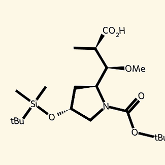 CO[C@H]([C@@H](C)C(=O)O)[C@@H]1C[C@@H](O[Si](C)(C)C(C)(C)C)CN1C(=O)OC(C)(C)C